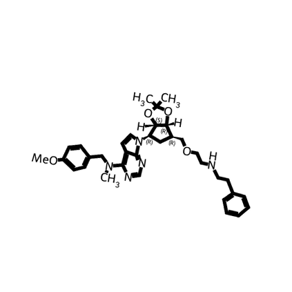 COc1ccc(CN(C)c2ncnc3c2ccn3[C@@H]2C[C@H](COCCNCCc3ccccc3)[C@H]3OC(C)(C)O[C@H]32)cc1